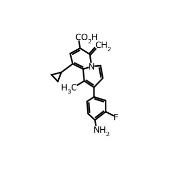 C=C1C(C(=O)O)=CC(C2CC2)=C2C(C)=C(c3ccc(N)c(F)c3)C=CN12